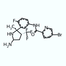 C[C@]1(c2cc(NC(=O)c3ccc(Br)cn3)ccc2F)NC(N)C[C@H]1C(F)(F)F